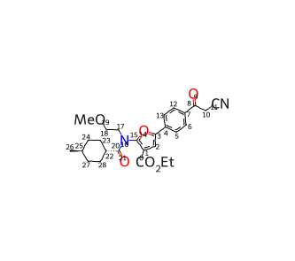 CCOC(=O)c1cc(-c2ccc(C(=O)CC#N)cc2)oc1N(CCOC)C(=O)[C@H]1CC[C@H](C)CC1